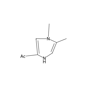 CC(=O)C1=CN(C)C(C)=CN1